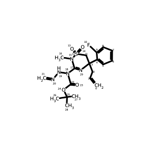 C=CCC1(c2ccccc2F)CS(=O)(=O)N(C)C(N(NN=C)C(=O)OC(C)(C)C)=N1